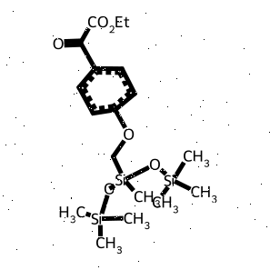 CCOC(=O)C(=O)c1ccc(OC[Si](C)(O[Si](C)(C)C)O[Si](C)(C)C)cc1